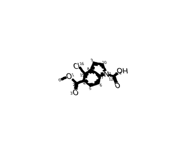 COC(=O)c1ccc2c(ccn2C(=O)O)c1Cl